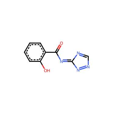 O=C(N=C1N=CN=N1)c1ccccc1O